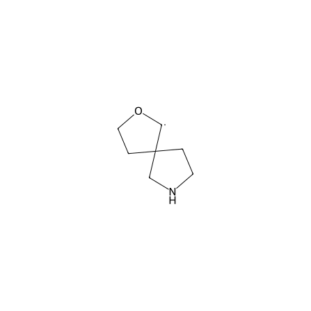 [CH]1OCCC12CCNC2